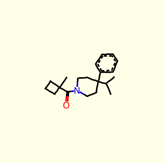 CC(C)C1(c2ccccc2)CCN(C(=O)C2(C)CCC2)CC1